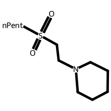 CCCCCS(=O)(=O)CCN1CCCCC1